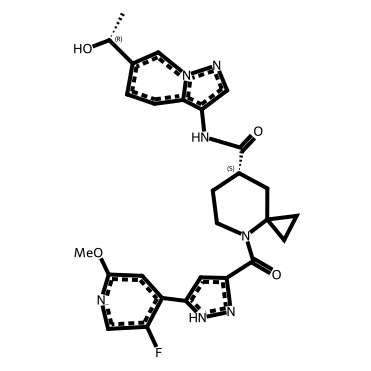 COc1cc(-c2cc(C(=O)N3CC[C@H](C(=O)Nc4cnn5cc([C@@H](C)O)ccc45)CC34CC4)n[nH]2)c(F)cn1